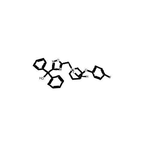 OC(c1ccccc1)(c1ccccc1)c1noc(C[N+]23CCC(CC2)[C@@H](Oc2ccc(F)cc2)C3)n1